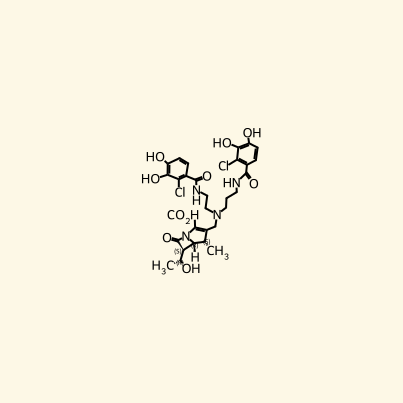 C[C@@H](O)[C@H]1C(=O)N2C(C(=O)O)=C(CN(CCCNC(=O)c3ccc(O)c(O)c3Cl)CCNC(=O)c3ccc(O)c(O)c3Cl)[C@H](C)[C@H]12